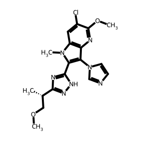 COC[C@H](C)c1n[nH]c(-c2c(-n3ccnc3)c3nc(OC)c(Cl)cc3n2C)n1